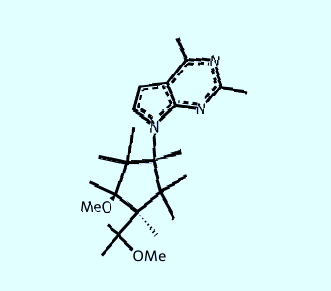 COC(C)(C)[C@]1(C)C(C)(C)[C@@](C)(n2ccc3c(C)nc(C)nc32)C(C)(C)[C@]1(C)OC